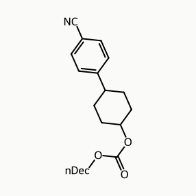 CCCCCCCCCCOC(=O)OC1CCC(c2ccc(C#N)cc2)CC1